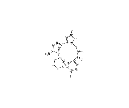 CN1Cc2nn(C)cc2-c2nnc(N)c(n2)N2CCCC[C@@H]2c2cc(F)ccc2C1=O